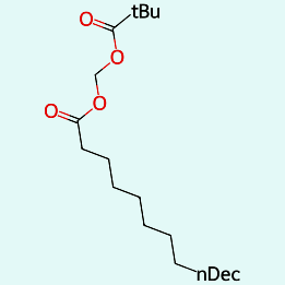 CCCCCCCCCCCCCCCCCC(=O)OCOC(=O)C(C)(C)C